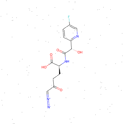 [N-]=[N+]=CC(=O)CC[C@H](NC(=O)[C@@H](O)c1ccc(F)cn1)C(=O)O